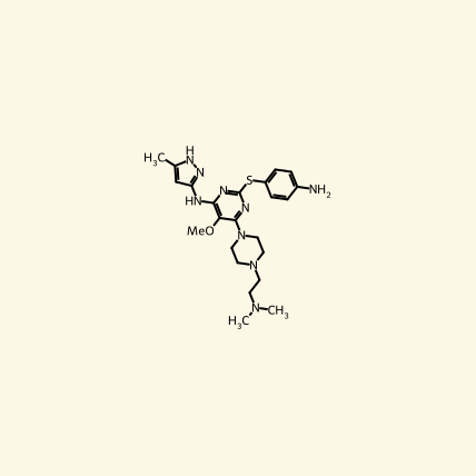 COc1c(Nc2cc(C)[nH]n2)nc(Sc2ccc(N)cc2)nc1N1CCN(CCN(C)C)CC1